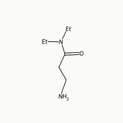 [CH2]CN(C[CH2])C(=O)CCN